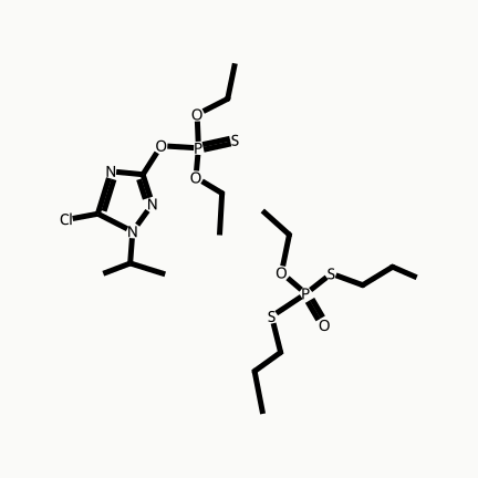 CCCSP(=O)(OCC)SCCC.CCOP(=S)(OCC)Oc1nc(Cl)n(C(C)C)n1